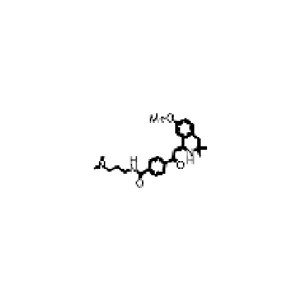 COc1ccc2c(c1)C(=CC(=O)c1ccc(C(=O)NCCCN(C)C)cc1)NC(C)(C)C2